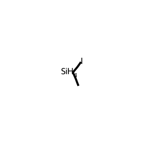 CCI.[SiH4]